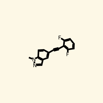 Cn1ncc2cc(C#Cc3c(F)cccc3F)ccc21